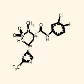 CN1[C@H](C(=O)Nc2ccc(F)c(Cl)c2)C[C@H](c2cnc(C(F)(F)F)s2)NS1(=O)=O